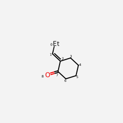 CC/C=C1\CCCCC1=O